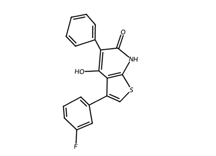 O=c1[nH]c2scc(-c3cccc(F)c3)c2c(O)c1-c1ccccc1